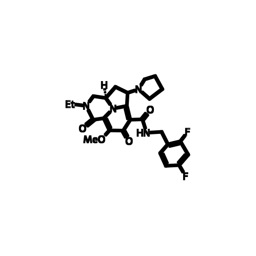 CCN1C[C@H]2CC(N3CCCC3)c3c(C(=O)NCc4ccc(F)cc4F)c(=O)c(OC)c(n32)C1=O